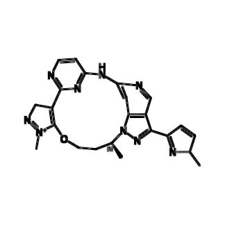 CC1C=CC(c2nn3c4cc(ncc24)Nc2ccnc(n2)C2=C(OCC[C@@H]3C)[N+](C)=NC2)=N1